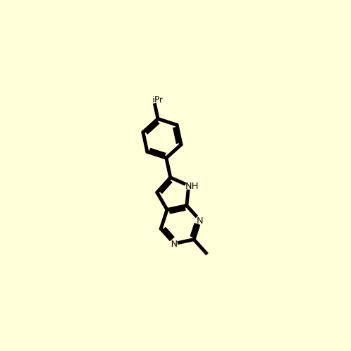 Cc1ncc2cc(-c3ccc(C(C)C)cc3)[nH]c2n1